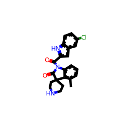 Cc1cccc2c1C1(CCNCC1)C(=O)N2C(=O)c1cc2cc(Cl)ccc2[nH]1